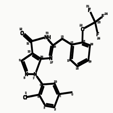 Cc1ccc(Cl)c(-n2ncc3c(=O)[nH]c(Cc4ccccc4OC(F)(F)F)nc32)c1